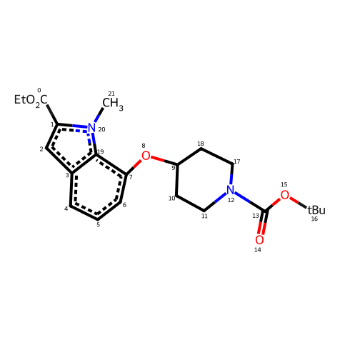 CCOC(=O)c1cc2cccc(OC3CCN(C(=O)OC(C)(C)C)CC3)c2n1C